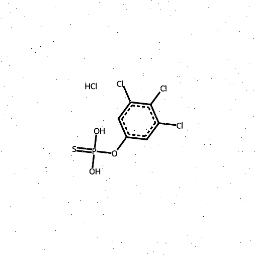 Cl.OP(O)(=S)Oc1cc(Cl)c(Cl)c(Cl)c1